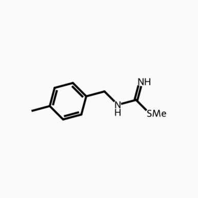 CSC(=N)NCc1ccc(C)cc1